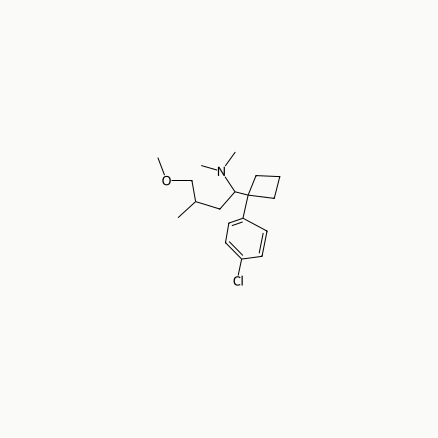 COCC(C)CC(N(C)C)C1(c2ccc(Cl)cc2)CCC1